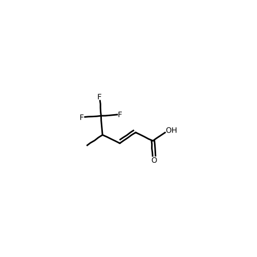 CC(C=CC(=O)O)C(F)(F)F